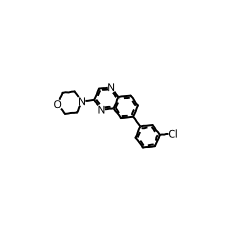 Clc1cccc(-c2ccc3ncc(N4CCOCC4)nc3c2)c1